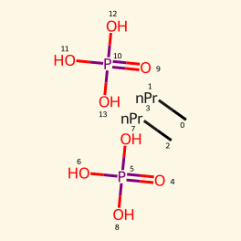 CCCC.CCCC.O=P(O)(O)O.O=P(O)(O)O